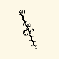 CC(=O)CN(C(=O)OCCCCO)C(=O)OCCCCO